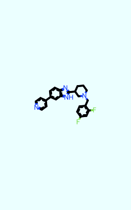 Fc1ccc(CN2CCCC(c3nc4ccc(-c5ccncc5)cc4[nH]3)C2)c(F)c1